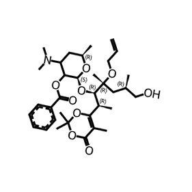 C=CCO[C@](C)(C[C@@H](C)CO)[C@H](O[C@@H]1O[C@H](C)CC(N(C)C)C1OC(=O)c1ccccc1)[C@@H](C)C1=C(C)C(=O)OC(C)(C)O1